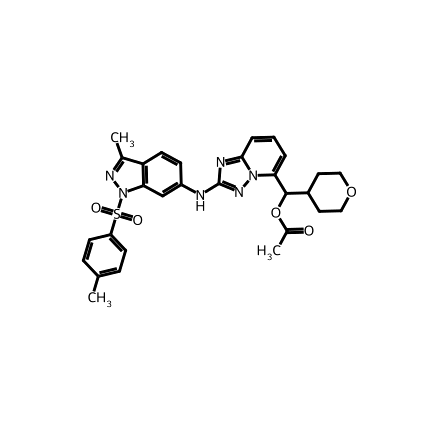 CC(=O)OC(c1cccc2nc(Nc3ccc4c(C)nn(S(=O)(=O)c5ccc(C)cc5)c4c3)nn12)C1CCOCC1